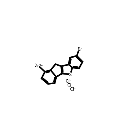 Brc1ccc2sc3c(c2c1)Cc1[c]([Zr+3])cccc1-3.[Cl-].[Cl-].[Cl-]